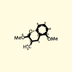 COC(=O)C(C)Cc1ccccc1OC